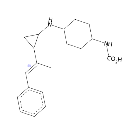 C/C(=C\c1ccccc1)C1CC1NC1CCC(NC(=O)O)CC1